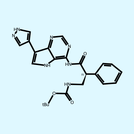 CC(C)(C)OC(=O)NC[C@@H](C(=O)Nc1ncnc2c(-c3cn[nH]c3)c[nH]c12)c1ccccc1